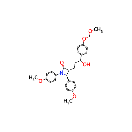 COCOc1ccc(C(O)CCC2C(=O)N(c3ccc(OC)cc3)[C@@H]2c2ccc(OC)cc2)cc1